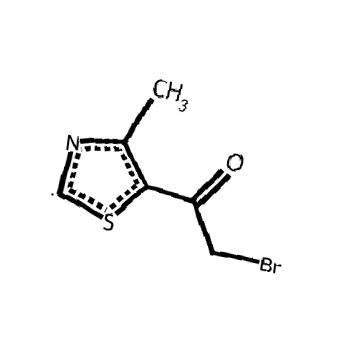 Cc1n[c]sc1C(=O)CBr